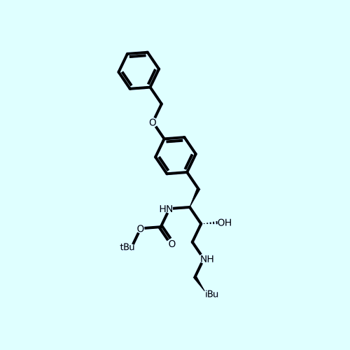 CC[C@H](C)CNC[C@@H](O)[C@H](Cc1ccc(OCc2ccccc2)cc1)NC(=O)OC(C)(C)C